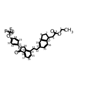 CCOC(=O)CC1CCc2cc(CCc3cccc4c3CN(c3ccc(OC(F)(F)F)cc3)C4=O)ccc21